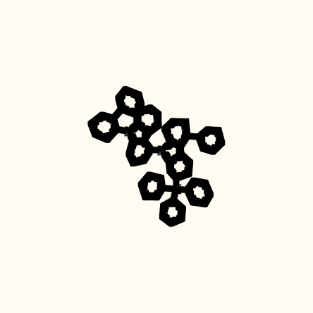 c1ccc(-c2ccccc2-n2c3ccccc3c3c(-n4c5cc([Si](c6ccccc6)(c6ccccc6)c6ccccc6)ccc5c5c(-c6ccccc6)cccc54)cccc32)cc1